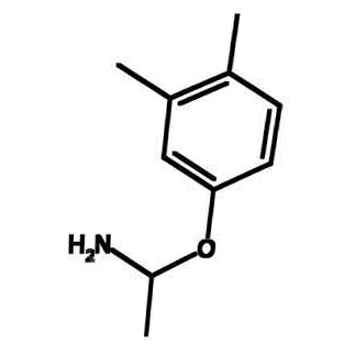 Cc1ccc(OC(C)N)cc1C